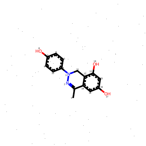 CC1=NN(c2ccc(O)cc2)Cc2c(O)cc(O)cc21